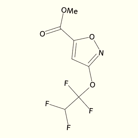 COC(=O)c1cc(OC(F)(F)C(F)F)no1